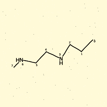 [CH2]CCNCCNC